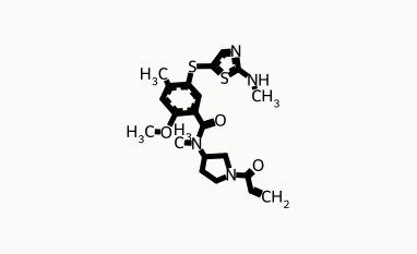 C=CC(=O)N1CCC(N(C)C(=O)c2cc(Sc3cnc(NC)s3)c(C)cc2OC)C1